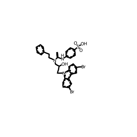 C=C(Nc1ccc(S(=O)(=O)O)cc1)N(CCc1ccccc1)CC(O)Cn1c2ccc(Br)cc2c2cc(Br)ccc21